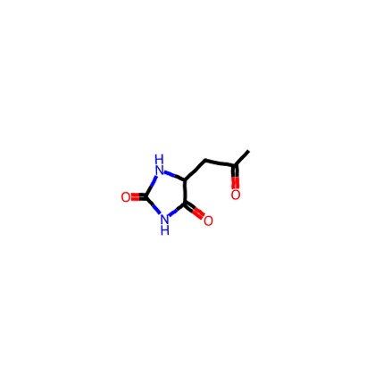 CC(=O)CC1NC(=O)NC1=O